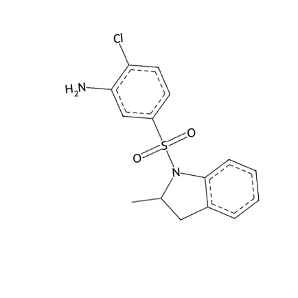 CC1Cc2ccccc2N1S(=O)(=O)c1ccc(Cl)c(N)c1